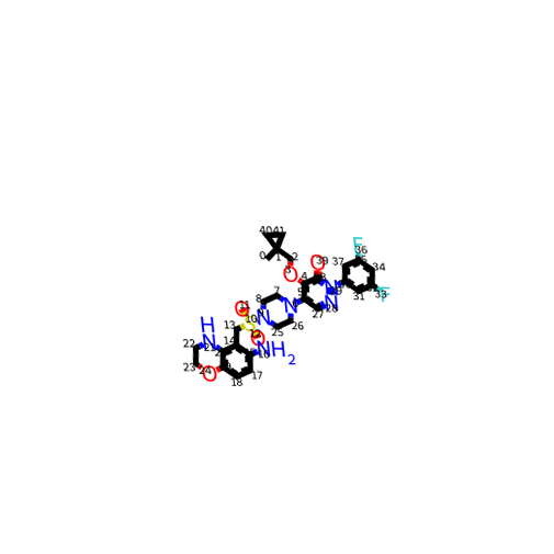 CC1(COc2c(N3CCN(S(=O)(=O)Cc4c(N)ccc5c4NCCO5)CC3)cnn(-c3cc(F)cc(F)c3)c2=O)CC1